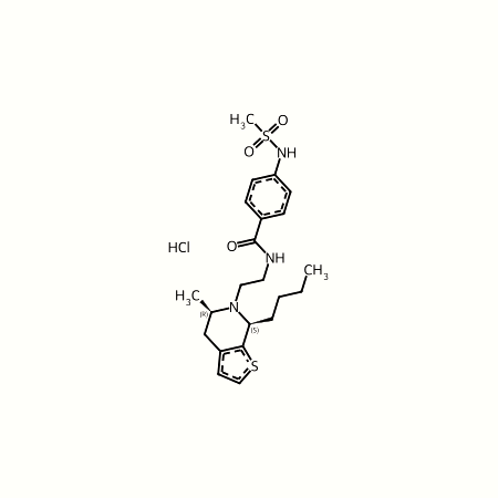 CCCC[C@H]1c2sccc2C[C@@H](C)N1CCNC(=O)c1ccc(NS(C)(=O)=O)cc1.Cl